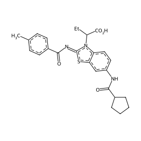 CCC(C(=O)O)n1/c(=N/C(=O)c2ccc(C)cc2)sc2cc(NC(=O)C3CCCC3)ccc21